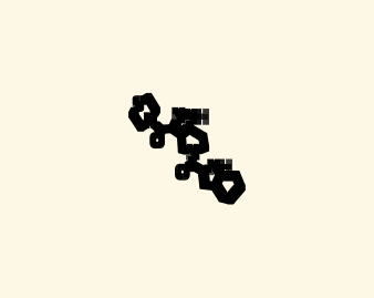 O=C(c1cc2ccccc2[nH]1)N1CCc2[nH]nc(C(=O)N3CCSCC3)c2C1